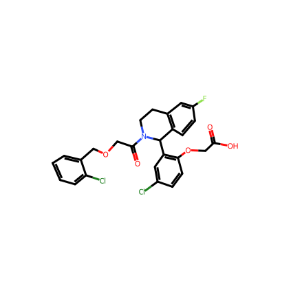 O=C(O)COc1ccc(Cl)cc1C1c2ccc(F)cc2CCN1C(=O)COCc1ccccc1Cl